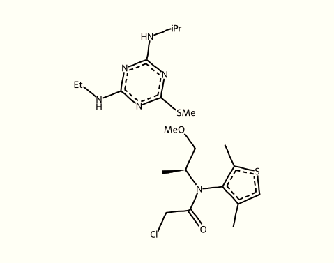 CCNc1nc(NC(C)C)nc(SC)n1.COC[C@H](C)N(C(=O)CCl)c1c(C)csc1C